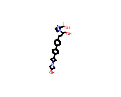 C[C@H](O)c1nccn1C(/C=C/c1ccc(-c2ccc(C3CC(N4CC(O)C4)C3)cc2)cc1)CO